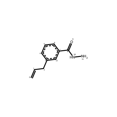 C=CCc1cccc(C(=O)NN)c1